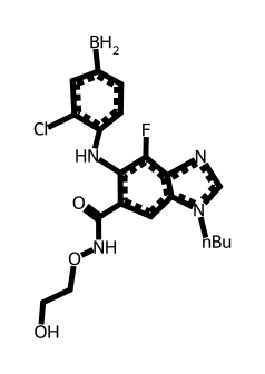 Bc1ccc(Nc2c(C(=O)NOCCO)cc3c(ncn3CCCC)c2F)c(Cl)c1